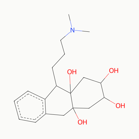 CN(C)CCCC1c2ccccc2CC2(O)CC(O)C(O)CC12O